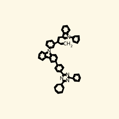 C=C/C(=C\c1cn(-c2ccccc2)c2ccccc12)c1cccc(-n2c3ccccc3c3cc(-c4ccc(-c5nc(C6=CC=C=CC=C6)nc(-c6ccccc6)n5)cc4)ccc32)c1